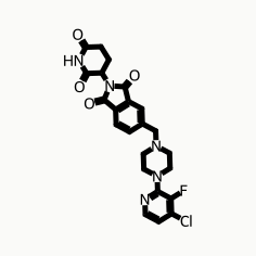 O=C1CCC(N2C(=O)c3ccc(CN4CCN(c5nccc(Cl)c5F)CC4)cc3C2=O)C(=O)N1